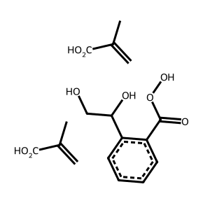 C=C(C)C(=O)O.C=C(C)C(=O)O.O=C(OO)c1ccccc1C(O)CO